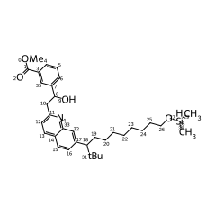 COC(=O)c1cccc(C(O)Cc2ccc3ccc(C(CCCCCCCCO[SiH](C)C)C(C)(C)C)cc3n2)c1